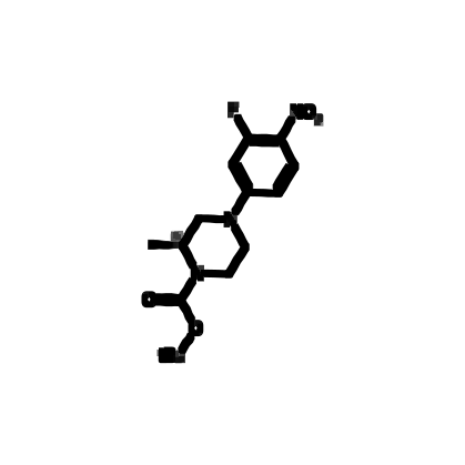 C[C@H]1CN(c2ccc([N+](=O)[O-])c(F)c2)CCN1C(=O)OC(C)(C)C